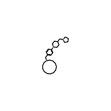 c1cc(N2CCC(CN3CCCC3)CC2)ccc1CN1CCCCCCCCCCCC1